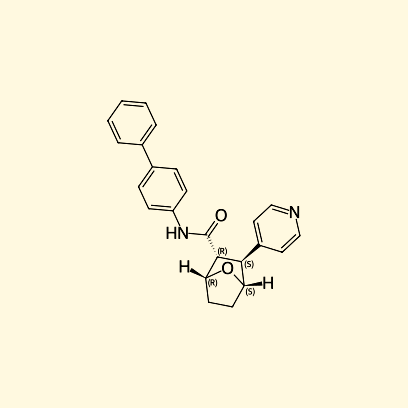 O=C(Nc1ccc(-c2ccccc2)cc1)[C@@H]1[C@@H](c2ccncc2)[C@@H]2CC[C@H]1O2